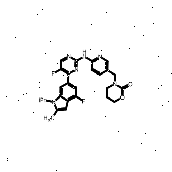 Cc1cc2c(F)cc(-c3nc(Nc4ccc(CN5CCCOC5=O)cn4)ncc3F)cc2n1C(C)C